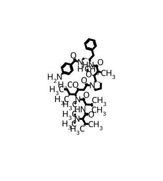 CC[C@H](C)C(C(CC(=O)N1CCC[C@H]1[C@H](OC)C(C)C(=O)N[C@H](CNC(=O)c1ccc(N)cc1)Cc1ccccc1)OC)N(C)C(=O)[C@@H](NC(=O)C(C(C)C)N(C)C)C(C)C